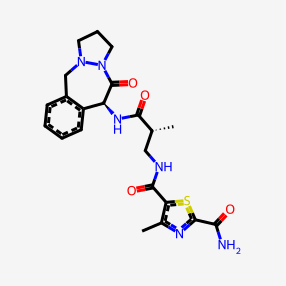 Cc1nc(C(N)=O)sc1C(=O)NC[C@@H](C)C(=O)N[C@@H]1C(=O)N2CCCN2Cc2ccccc21